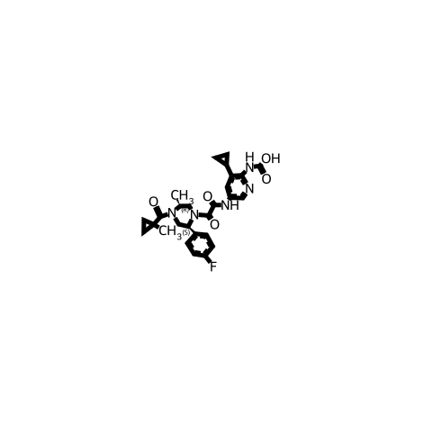 C[C@@H]1CN(C(=O)C(=O)Nc2cnc(NC(=O)O)c(C3CC3)c2)[C@@H](c2ccc(F)cc2)CN1C(=O)C1(C)CC1